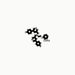 COc1ccccc1OCCN(Cc1cncc(-c2ccc(F)cc2)c1)Cc1cncc(-c2ccc(F)cc2)c1